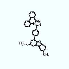 CCc1cc(-c2ccc(-c3nnc4c5ccccc5c5ccccc5n34)cc2)c2sc3ccc(C)cc3c2c1